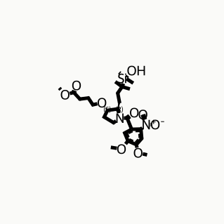 COC(=O)CCCO[C@H]1CCN(C(=O)c2cc(OC)c(OC)cc2[N+](=O)[O-])[C@@H]1CCC(C)(C)[Si](C)(C)O